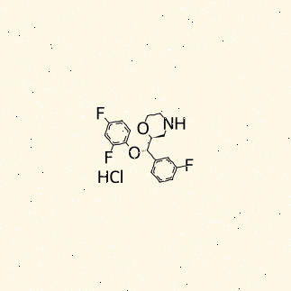 Cl.Fc1cccc([C@H](Oc2ccc(F)cc2F)[C@@H]2CNCCO2)c1